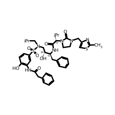 Cc1nc(CN2CCN([C@H](C(=O)N[C@@H](Cc3ccccc3)[C@H](O)CN(CC(C)C)S(=O)(=O)c3ccc(O)c(NC(=O)Cc4ccccc4)c3)C(C)C)C2=O)cs1